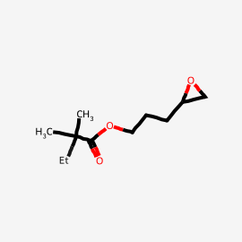 CCC(C)(C)C(=O)OCCCC1CO1